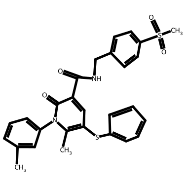 Cc1cccc(-n2c(C)c(Sc3ccccc3)cc(C(=O)NCc3ccc(S(C)(=O)=O)cc3)c2=O)c1